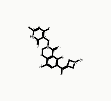 CC(=O)N1CC(=C(C)c2cc(Cl)c3c(c2Cl)C(=O)N(Cc2c(C)cc(C)[nH]c2=O)CC3)C1